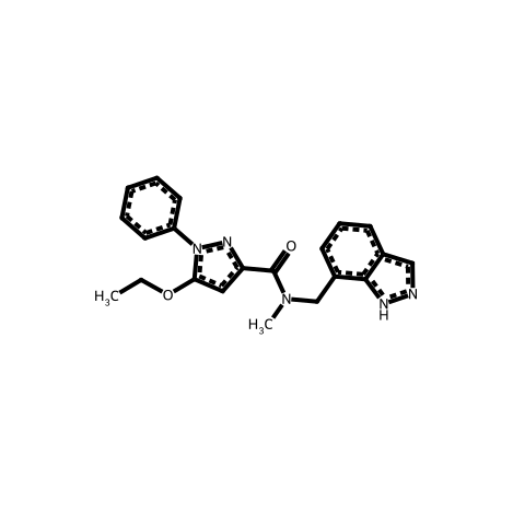 CCOc1cc(C(=O)N(C)Cc2cccc3cn[nH]c23)nn1-c1ccccc1